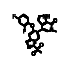 Cn1cc(-c2cn3c(S(C)(=O)=O)ncc3cc2Oc2ccc(F)cc2F)c2cc[nH]c2c1=O